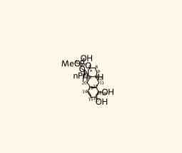 CCC[N@+]1(OP(=O)(O)OC)CCC[C@@H]2Cc3c(ccc(O)c3O)C[C@H]21